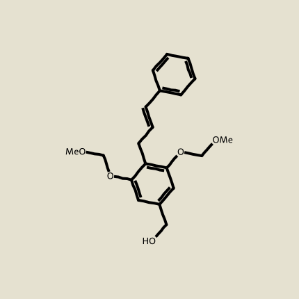 COCOc1cc(CO)cc(OCOC)c1CC=Cc1ccccc1